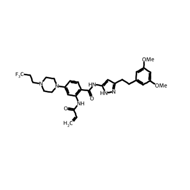 C=CC(=O)Nc1cc(N2CCN(CCC(F)(F)F)CC2)ccc1C(=O)Nc1cc(CCc2cc(OC)cc(OC)c2)n[nH]1